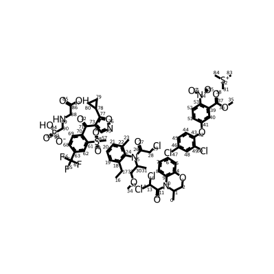 CC1COc2ccccc2N1C(=O)C(Cl)Cl.CCc1cccc(C)c1N(C(=O)CCl)C(C)COC.COC(=O)c1cc(Oc2ccc(Cl)cc2Cl)ccc1[N+](=O)[O-].CS(=O)(=O)c1cc(C(F)(F)F)ccc1C(=O)c1cnoc1C1CC1.C[S+](C)C.O=C(O)CNCP(=O)([O-])O